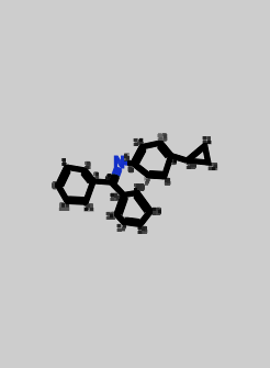 c1ccc(C(=Nc2ccc(C3CC3)cc2)c2ccccc2)cc1